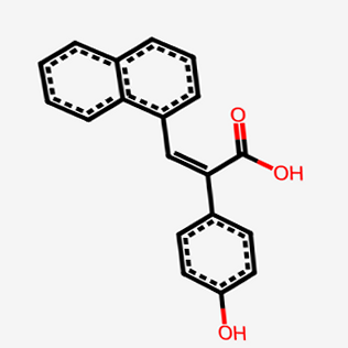 O=C(O)C(=Cc1cccc2ccccc12)c1ccc(O)cc1